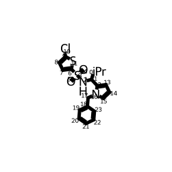 CC(C)C(NS(=O)(=O)c1ccc(Cl)s1)c1cccn1Cc1ccccc1